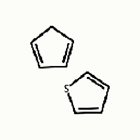 C1=CCC=C1.c1ccsc1